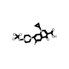 O=C(O)c1cn(C2CC2)c2cc(N3CCN(SC(Cl)(Cl)Cl)CC3)c(F)cc2c1=O